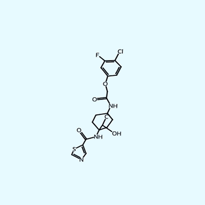 O=C(COc1ccc(Cl)c(F)c1)NC12CCC(NC(=O)c3cncs3)(CC1)C(O)C2